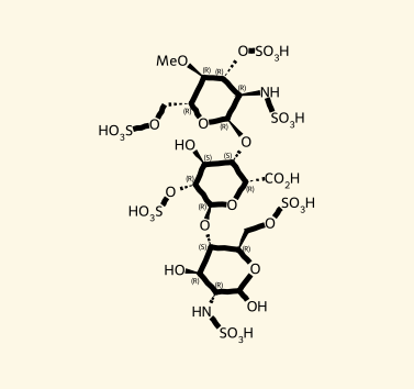 CO[C@H]1[C@H](OS(=O)(=O)O)[C@@H](NS(=O)(=O)O)[C@@H](O[C@H]2[C@H](O)[C@@H](OS(=O)(=O)O)[C@H](O[C@H]3[C@H](O)[C@@H](NS(=O)(=O)O)C(O)O[C@@H]3COS(=O)(=O)O)O[C@H]2C(=O)O)O[C@@H]1COS(=O)(=O)O